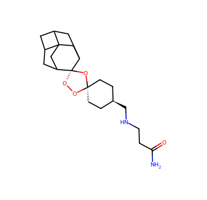 NC(=O)CCNC[C@H]1CC[C@]2(CC1)OO[C@]1(O2)C2CC3CC4CC1CC34C2